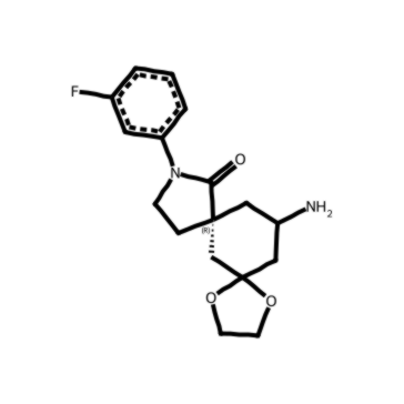 NC1CC2(C[C@@]3(CCN(c4cccc(F)c4)C3=O)C1)OCCO2